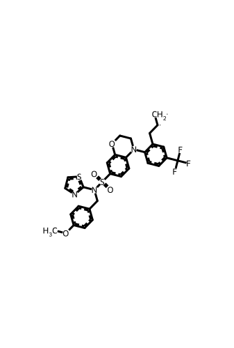 [CH2][CH]Cc1cc(C(F)(F)F)ccc1N1CCOc2cc(S(=O)(=O)N(Cc3ccc(OC)cc3)c3nccs3)ccc21